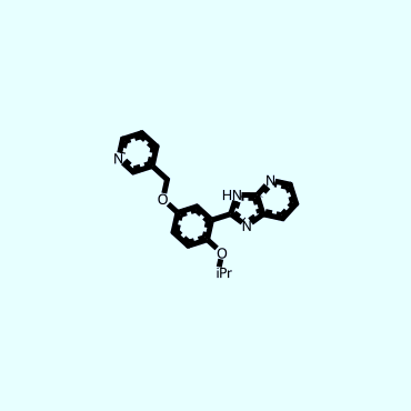 CC(C)Oc1ccc(OCc2cccnc2)cc1-c1nc2cccnc2[nH]1